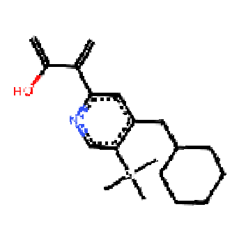 C=C(O)C(=C)c1cc(CC2CCCCC2)c([Si](C)(C)C)cn1